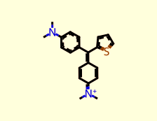 CN(C)c1ccc(C(=C2C=CC(=[N+](C)C)C=C2)c2cccs2)cc1